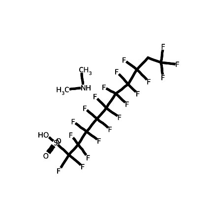 CNC.O=S(=O)(O)C(F)(F)C(F)(F)C(F)(F)C(F)(F)C(F)(F)C(F)(F)C(F)(F)C(F)(F)CC(F)(F)F